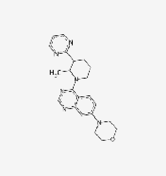 CC1C(c2ncccn2)CCCN1c1ncnc2cc(N3CCOCC3)ccc12